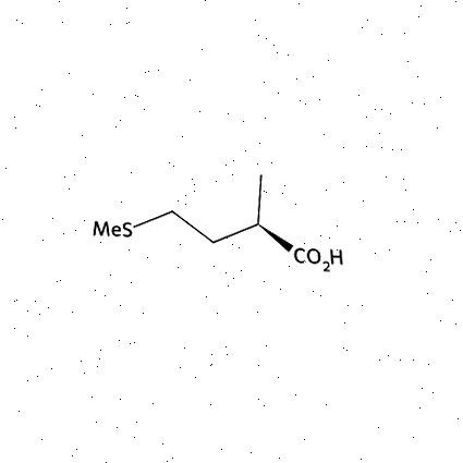 CSCC[C@@H](C)C(=O)O